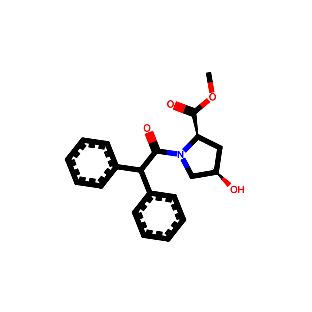 COC(=O)[C@H]1C[C@@H](O)CN1C(=O)C(c1ccccc1)c1ccccc1